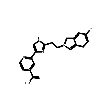 O=C(O)c1ccnc(-c2c[nH]c(CCN3C=C4CC=C(Cl)C=C4C3)n2)c1